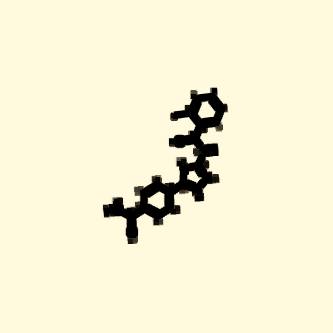 Cc1ccccc1C(=O)Nc1nnc(-c2ccc(C(=O)O)cc2)s1